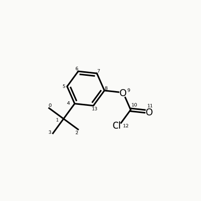 CC(C)(C)c1cccc(OC(=O)Cl)c1